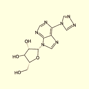 OC[C@H]1O[C@@H](n2cnc3c(-n4cnnc4)ncnc32)[C@@H](O)C1O